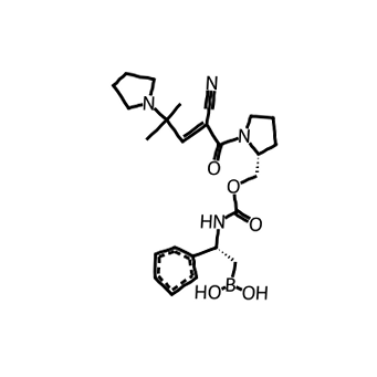 CC(C)(C=C(C#N)C(=O)N1CCC[C@@H]1COC(=O)N[C@H](CB(O)O)c1ccccc1)N1CCCC1